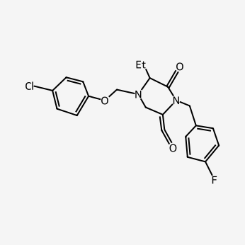 CCC1C(=O)N(Cc2ccc(F)cc2)C(=C=O)CN1COc1ccc(Cl)cc1